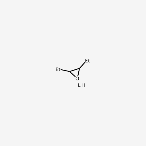 CCC1OC1CC.[LiH]